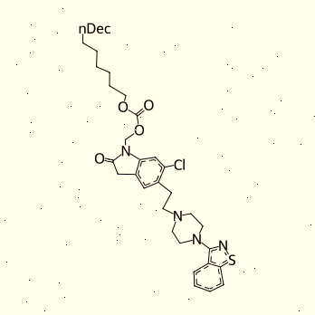 CCCCCCCCCCCCCCCCOC(=O)OCN1C(=O)Cc2cc(CCN3CCN(c4nsc5ccccc45)CC3)c(Cl)cc21